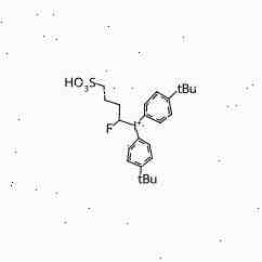 CC(C)(C)c1ccc([I+](c2ccc(C(C)(C)C)cc2)C(F)CCCS(=O)(=O)O)cc1